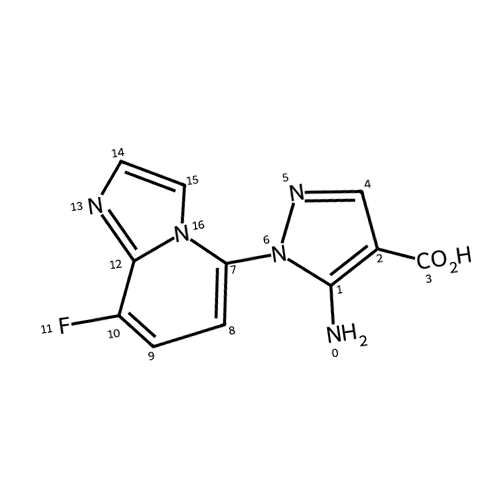 Nc1c(C(=O)O)cnn1-c1ccc(F)c2nccn12